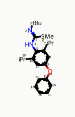 CS/C(=N\C(C)(C)C)Nc1c(C(C)C)cc(Oc2ccccc2)cc1C(C)C